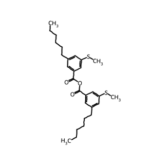 CCCCCCc1cc(SC)cc(C(=O)OC(=O)c2cc(CCCCCC)cc(SC)c2)c1